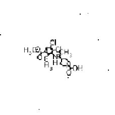 COC(=O)c1cc(Cl)c(Cl)c(N[C@@H](C)C2CCN(C(=O)O)CC2)c1C